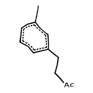 CC(=O)CCc1cccc(C)c1